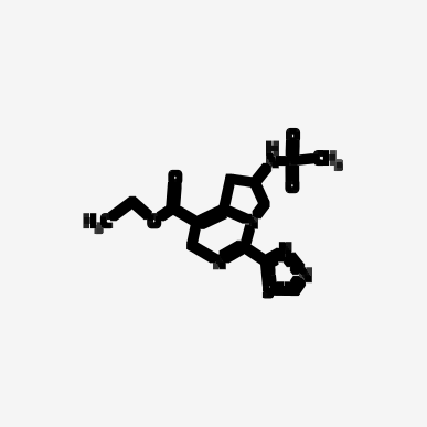 CCOC(=O)C1=C2CC(NS(C)(=O)=O)CN2C(c2nncs2)=NC1